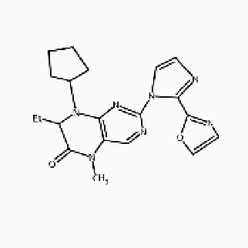 CCC1C(=O)N(C)c2cnc(-n3ccnc3-c3ncco3)nc2N1C1CCCC1